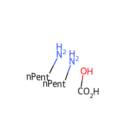 CCCCCN.CCCCCN.O=C(O)O